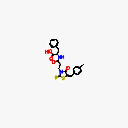 Cc1ccc(/C=C2/SC(=S)N(CCC(=O)NC(Cc3ccccc3)C(=O)O)C2=O)cc1